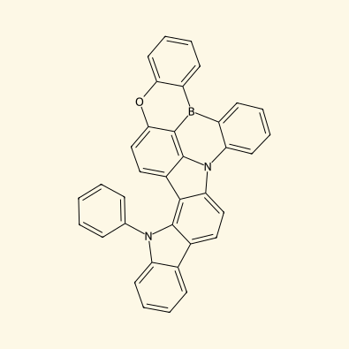 c1ccc(-n2c3ccccc3c3ccc4c(c5ccc6c7c5n4-c4ccccc4B7c4ccccc4O6)c32)cc1